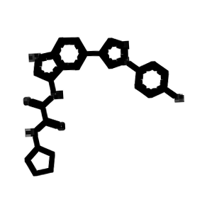 CCc1ccc(-n2cc(-c3ccc4[nH]cc(NC(=O)C(=O)NC5CCCC5)c4c3)cn2)cc1